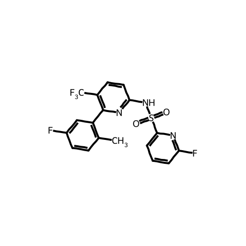 Cc1ccc(F)cc1-c1nc(NS(=O)(=O)c2cccc(F)n2)ccc1C(F)(F)F